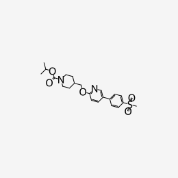 CC(C)OC(=O)N1CCC(COc2ccc(-c3ccc(S(C)(=O)=O)cc3)cn2)CC1